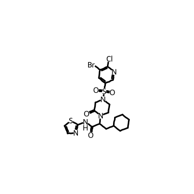 O=C(Nc1nccs1)C(CC1CCCCC1)N1CCN(S(=O)(=O)c2cnc(Cl)c(Br)c2)CC1=O